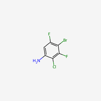 Nc1cc(F)c(Br)c(F)c1Cl